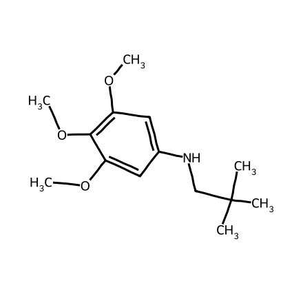 COc1cc(NCC(C)(C)C)cc(OC)c1OC